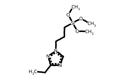 CCc1ncn(CCC[Si](OC)(OC)OC)n1